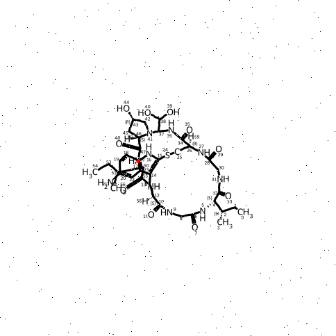 CC[C@H](C)[C@@H]1NC(=O)CNC(=O)[C@@H]2Cc3c([nH]c4ccc(N)cc34)SC[C@H](NC(=O)CNC1=O)C(=O)NC(C(O)O)N1C[C@H](O)C[C@H]1C(=O)N[C@@H]([C@@H](C)CC)C(=O)N2